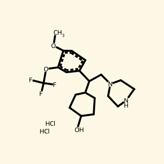 COc1ccc(C(CN2CCNCC2)C2CCC(O)CC2)cc1OC(F)(F)F.Cl.Cl